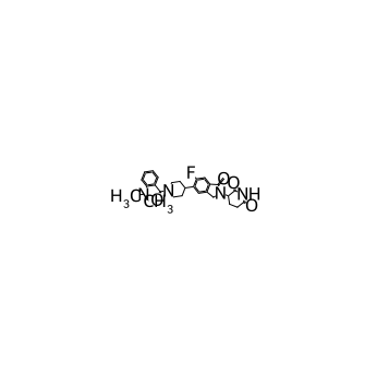 CN(C)c1ccccc1C(=O)N1CCC(c2cc3c(cc2F)C(=O)N(C2CCC(=O)NC2=O)C3)CC1